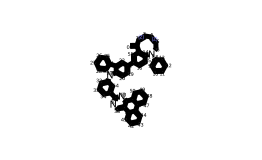 C=C1/C=C\C=C/CN(c2ccccc2)c2ccc(-c3ccc4c(c3)c3ccccc3n4-c3cccc(-c4ncc5c6ccccc6c6ccccc6c5n4)c3)cc21